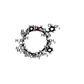 CCC(C)[C@@H]1NC(=O)[C@H](C)N(C)C(=O)C[C@@H](C)NC(=O)[C@H](C(C)C)N(C)C(=O)C2(CCCC2)NC(=O)[C@@H]2CCCN2C(=O)[C@H](CCc2ccc(C(F)(F)F)c(Cl)c2)NC(=O)CN(C)C(=O)[C@H](CC2CCCCC2)N(C)C(=O)CN(C)C(=O)CN(C)C1=O